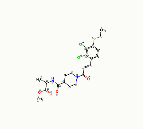 CCSc1ccc(C=CC(=O)N2CCC(C(=O)NC(C)C(=O)OC)CC2)c(Cl)c1Cl